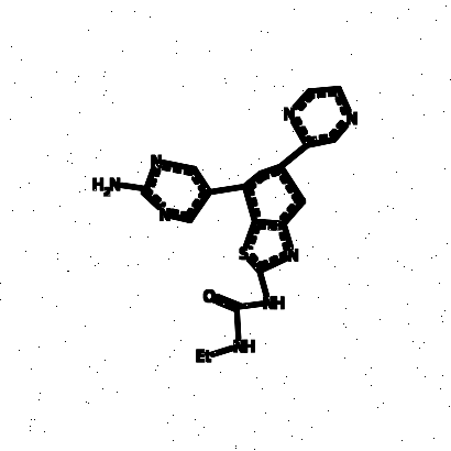 CCNC(=O)Nc1nc2cc(-c3cnccn3)cc(-c3cnc(N)nc3)c2s1